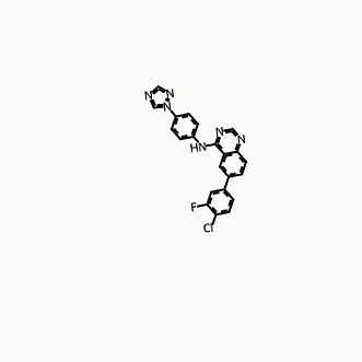 Fc1cc(-c2ccc3ncnc(Nc4ccc(-n5cncn5)cc4)c3c2)ccc1Cl